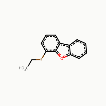 O=C(O)CSc1cccc2c1oc1ccccc12